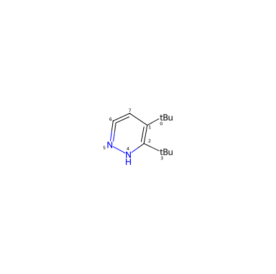 CC(C)(C)C1=C(C(C)(C)C)NN=C=C1